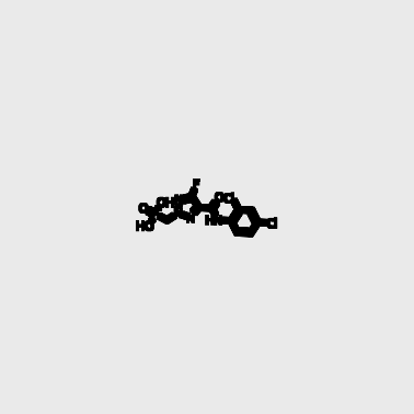 O=C(Nc1ccc(Cl)cc1Cl)c1nn(CP(=O)(O)O)nc1F